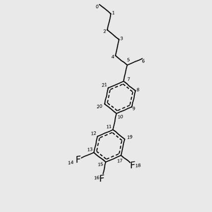 CCCCCC(C)c1ccc(-c2cc(F)c(F)c(F)c2)cc1